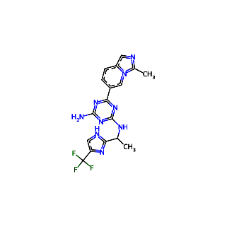 Cc1ncc2ccc(-c3nc(N)nc(NC(C)c4nc(C(F)(F)F)c[nH]4)n3)cn12